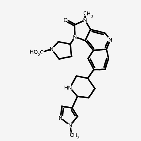 Cn1cc(C2CCC(c3ccc4ncc5c(c4c3)n(C3CCN(C(=O)O)C3)c(=O)n5C)CN2)cn1